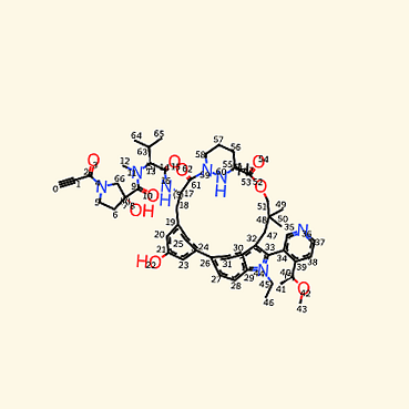 C#CC(=O)N1CC[C@](O)(C(=O)N(C)[C@H](C(=O)N[C@H]2Cc3cc(O)cc(c3)-c3ccc4c(c3)c(c(-c3cnccc3[C@H](C)OC)n4CC)CC(C)(C)COC(=O)[C@@H]3CCCN(N3)C2=O)C(C)C)C1